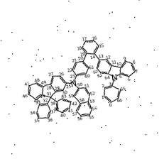 c1ccc(-n2c3ccccc3c3cc(-c4ccccc4-c4ccc(N(c5ccc6c(c5)C(c5ccccc5)(c5ccccc5)c5ccccc5-6)c5ccc6ccccc6c5)cc4)ccc32)cc1